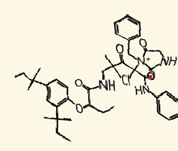 CCC(Oc1ccc(C(C)(C)CC)cc1C(C)(C)CC)C(=O)NCC(C)(C)C(=O)C(Cl)(C(=O)Nc1ccccc1)[N+]1(Cc2ccccc2)C(=O)CNC1=O